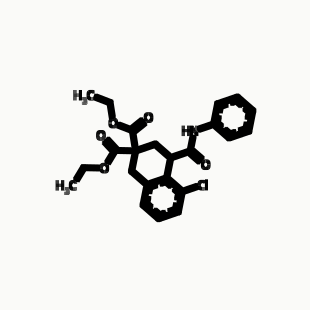 CCOC(=O)C1(C(=O)OCC)Cc2cccc(Cl)c2C(C(=O)Nc2ccccc2)C1